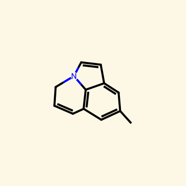 Cc1cc2c3c(ccn3CC=C2)c1